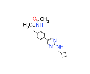 CC(=O)NC(C)Cc1ccc(-c2cnc(NCC3CCC3)nc2)cc1